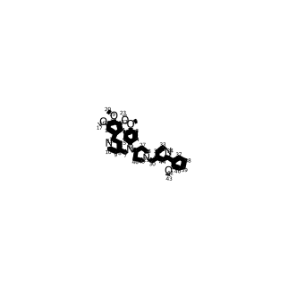 COc1ccc(N(Cc2ccnc(-c3cc(OC)c(OC)c(OC)c3)c2)C2CCN(Cc3ccnc(-c4ccccc4OC)c3)CC2)cc1